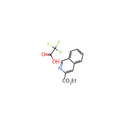 CCOC(=O)c1cc2ccccc2cn1.O=C(O)C(F)(F)F